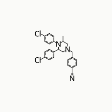 CC1CN(Cc2ccc(C#N)cc2)CC(c2ccc(Cl)cc2)N1c1ccc(Cl)cc1